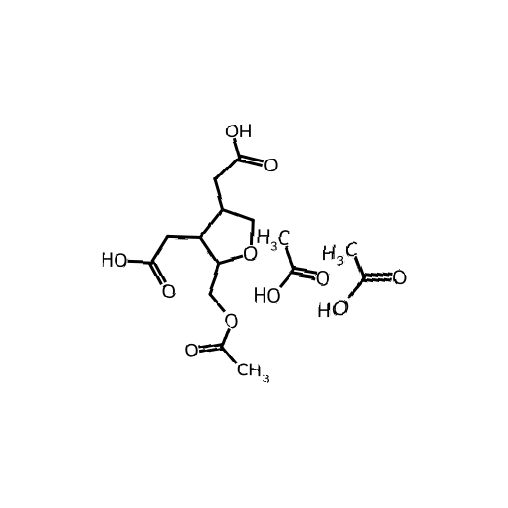 CC(=O)O.CC(=O)O.CC(=O)OCC1OCC(CC(=O)O)C1CC(=O)O